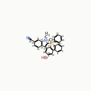 Br.Cn1c(P(C)(c2ccccc2)(c2ccccc2)c2ccccc2)cc2ccc(C#N)cc21